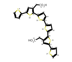 O=C(O)Cc1cc(-c2cccs2)sc1-c1ccc(-c2ccc(-c3sc(-c4cccs4)cc3CC(=O)O)s2)s1